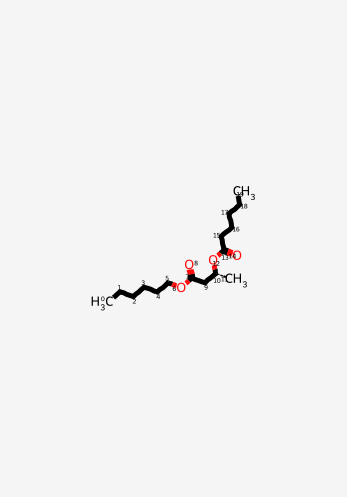 CCCCCCOC(=O)C[C@@H](C)OC(=O)CCCCC